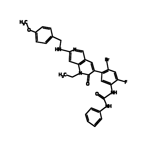 CCn1c(=O)c(-c2cc(NC(=O)Nc3ccccc3)c(F)cc2Br)cc2cnc(NCc3ccc(OC)cc3)cc21